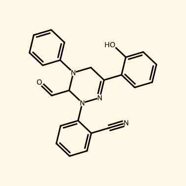 N#Cc1ccccc1N1N=C(c2ccccc2O)CN(c2ccccc2)C1C=O